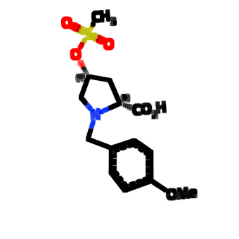 COc1ccc(CN2C[C@H](OS(C)(=O)=O)C[C@@H]2C(=O)O)cc1